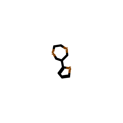 c1csc(C2CSCCSC2)c1